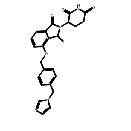 O=C1CCC(N2C(=O)c3cccc(OCc4ccc(Cn5ccnc5)cc4)c3C2I)C(=O)N1